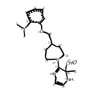 CN(C)c1ccccc1OCC1CCN(C2=NC=CNC2(C)C=O)CC1